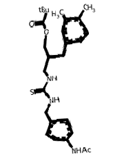 CC(=O)Nc1ccc(CNC(=S)NCC(COC(=O)C(C)(C)C)Cc2ccc(C)c(C)c2)cc1